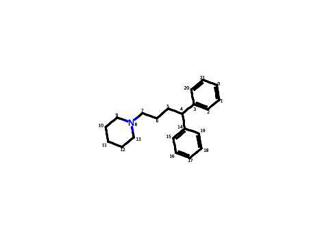 c1ccc(C(CCCN2CCCCC2)c2ccccc2)cc1